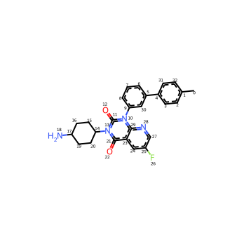 Cc1ccc(-c2cccc(-n3c(=O)n(C4CCC(N)CC4)c(=O)c4cc(F)cnc43)c2)cc1